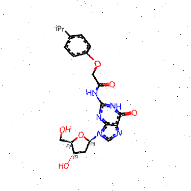 CC(C)c1ccc(OCC(=O)Nc2nc3c(ncn3[C@H]3C[C@H](O)[C@@H](CO)O3)c(=O)[nH]2)cc1